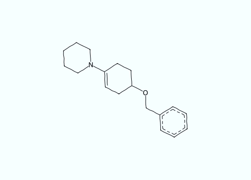 C1=C(N2CCCCC2)CCC(OCc2ccccc2)C1